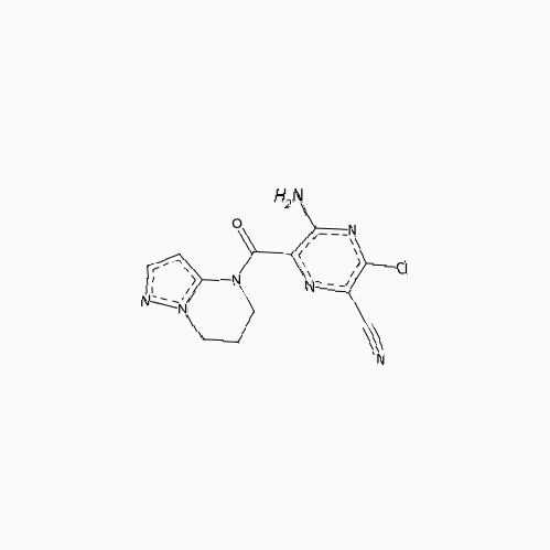 N#Cc1nc(C(=O)N2CCCn3nccc32)c(N)nc1Cl